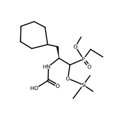 CCP(=O)(OC)C(O[Si](C)(C)C)[C@H](CC1CCCCC1)NC(=O)O